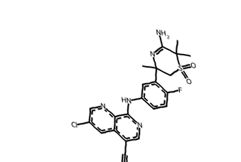 C#Cc1cnc(Nc2ccc(F)c(C3(C)CS(=O)(=O)C(C)(C)C(N)=N3)c2)c2ncc(Cl)cc12